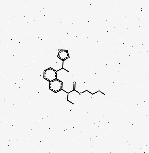 CCN(C(=O)OCCOC)c1ccc2cccc(C(C)c3c[nH]cn3)c2c1